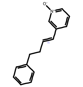 [O-][n+]1cccc(/C=C/CCc2ccccc2)c1